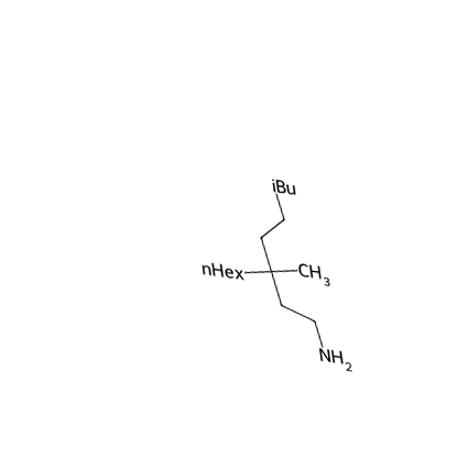 CCCCCCC(C)(CCN)CCC(C)CC